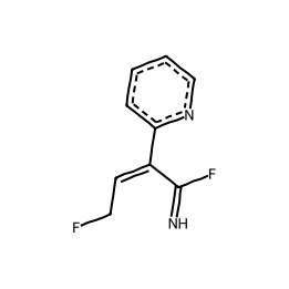 N=C(F)C(=CCF)c1ccccn1